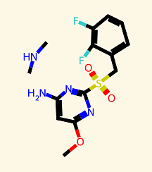 CNC.COc1cc(N)nc(S(=O)(=O)Cc2cccc(F)c2F)n1